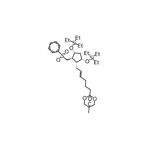 CC[Si](CC)(CC)O[C@H]1C[C@@H](O[Si](CC)(CC)CC)[C@H](CS(=O)(=O)c2ccccc2)[C@H]1CC=CCCCC12OCC(C)(CO1)CO2